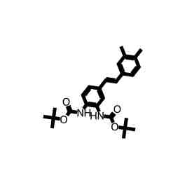 Cc1ccc(/C=C/c2ccc(NC(=O)OC(C)(C)C)c(NC(=O)OC(C)(C)C)c2)cc1C